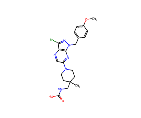 COc1ccc(Cn2nc(Br)c3ncc(N4CCC(C)(CNC(=O)O)CC4)nc32)cc1